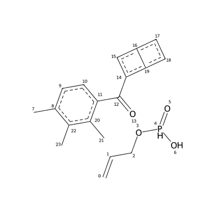 C=CCO[PH](=O)O.Cc1ccc(C(=O)c2cc3ccc2-3)c(C)c1C